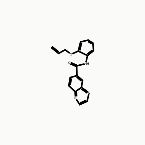 C=CCOc1ccccc1NC(=O)c1ccc2nccnc2c1